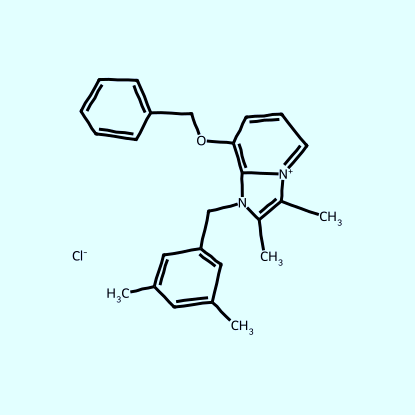 Cc1cc(C)cc(Cn2c(C)c(C)[n+]3cccc(OCc4ccccc4)c23)c1.[Cl-]